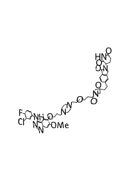 COc1cc2ncnc(Nc3ccc(F)c(Cl)c3)c2cc1OCCCN1CCN(CCOCCC(=O)N2CC3(CCc4cc5c(cc4O3)C(=O)N(C3CCC(=O)NC3=O)C5)C2)CC1